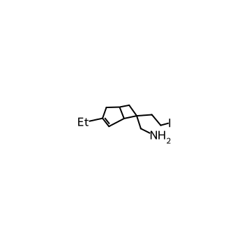 CCC1=CC2C(C1)CC2(CN)CCI